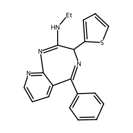 CCNC1=Nc2ncccc2C(c2ccccc2)=NC1c1cccs1